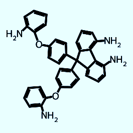 Nc1ccccc1Oc1ccc(C2(c3ccc(Oc4ccccc4N)cc3)c3cccc(N)c3-c3c(N)cccc32)cc1